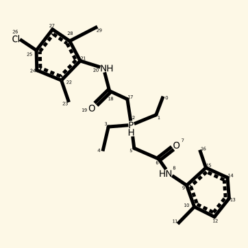 CC[PH](CC)(CC(=O)Nc1c(C)cccc1C)CC(=O)Nc1c(C)cc(Cl)cc1C